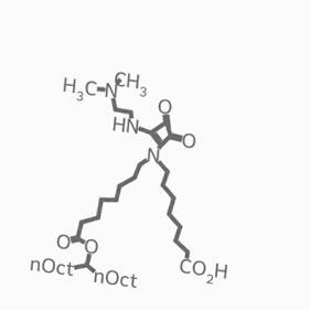 CCCCCCCCC(CCCCCCCC)OC(=O)CCCCCCCN(CCCCCCCC(=O)O)c1c(NCCN(C)C)c(=O)c1=O